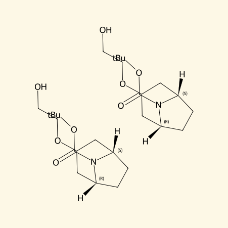 CC(C)(C)OC(=O)N1[C@@H]2CC[C@H]1CC(OCCO)C2.CC(C)(C)OC(=O)N1[C@@H]2CC[C@H]1CC(OCCO)C2